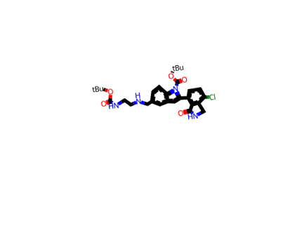 CC(C)(C)OC(=O)NCCNCc1ccc2c(c1)cc(-c1ccc(Cl)c3c1C(=O)NC3)n2C(=O)OC(C)(C)C